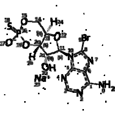 Nc1ncnc2c1nc(Br)n2[C@@H]1O[C@@H]2COP([O-])(=S)O[C@H]2[C@H]1O.[Na+]